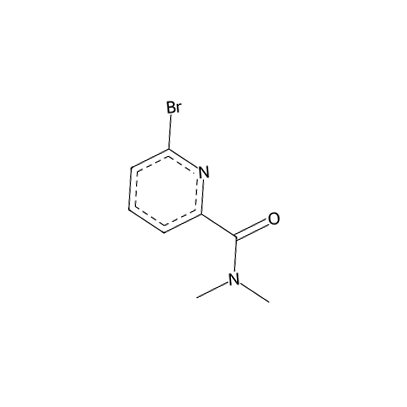 CN(C)C(=O)c1cccc(Br)n1